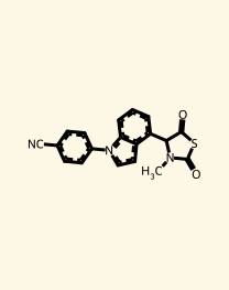 CN1C(=O)SC(=O)C1c1cccc2c1ccn2-c1ccc(C#N)cc1